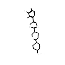 CCCCCC1CCC(C2CCC(C3=NC=C(c4ccc(CC)c(F)c4F)CN3)CO2)CC1